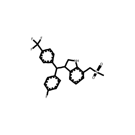 CS(=O)(=O)Cc1cccc2c1NCC2C(c1ccc(F)cc1)c1ccc(C(F)(F)F)cc1